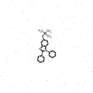 CC(C)(C)Cc1ccc2c(c1)nc(-c1ccccc1)n2-c1ccccc1